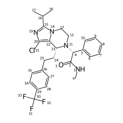 CNC(=O)[C@@H](c1ccccc1)N1CCn2c(C(C)C)nc(Cl)c2[C@H]1CCc1ccc(C(F)(F)F)cc1